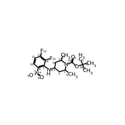 CC1CC(Nc2c([N+](=O)[O-])ccc(F)c2F)CC(C)N1C(=O)OC(C)(C)C